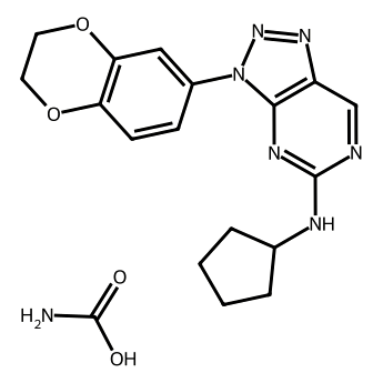 NC(=O)O.c1cc2c(cc1-n1nnc3cnc(NC4CCCC4)nc31)OCCO2